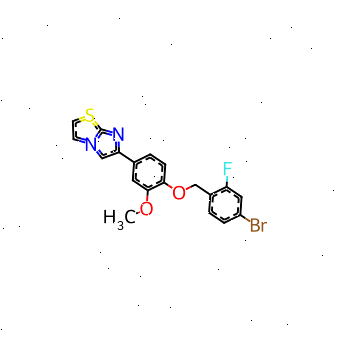 COc1cc(-c2cn3ccsc3n2)ccc1OCc1ccc(Br)cc1F